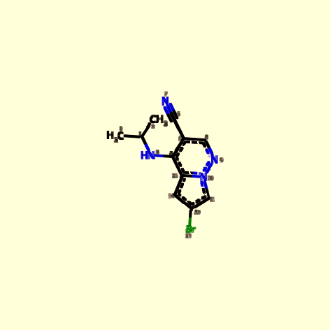 CC(C)Nc1c(C#N)cnn2cc(Br)cc12